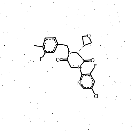 Cc1ccc(CN2C(=O)CN(c3ncc(Cl)cc3F)C(=O)[C@H]2C2COC2)cc1F